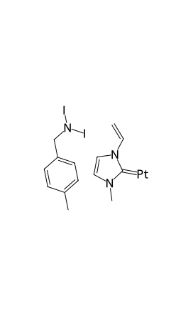 C=Cn1ccn(C)[c]1=[Pt].Cc1ccc(CN(I)I)cc1